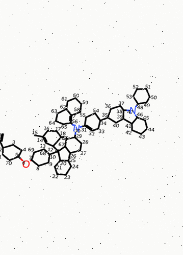 C=CC1CCC(OC2CCC(C3(C4C=C(C)CCC4C)C4CCCCC4C4CCC(N(C5=CCC(C6CCC7C(C6)C6CCCCC6N7C6CCCCC6)CC5)C5=C6CCCCC6CCC5)CC43)CC2)CC1